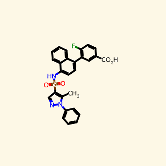 Cc1c(S(=O)(=O)Nc2ccc(-c3cc(C(=O)O)ccc3F)c3ccccc23)cnn1-c1ccccc1